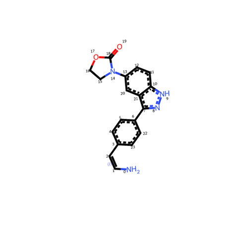 N/C=C\c1ccc(-c2n[nH]c3ccc(N4CCOC4=O)cc23)cc1